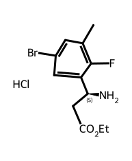 CCOC(=O)C[C@H](N)c1cc(Br)cc(C)c1F.Cl